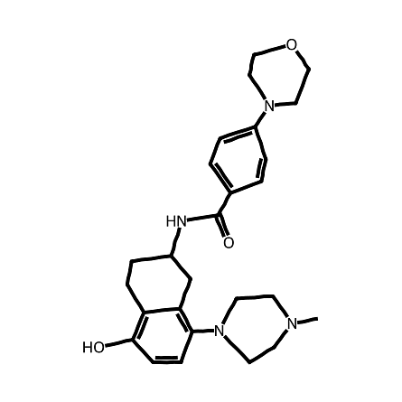 CN1CCN(c2ccc(O)c3c2CC(NC(=O)c2ccc(N4CCOCC4)cc2)CC3)CC1